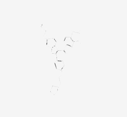 C=CCOc1ccc2c(C(=O)c3ccc(CN(C)C)c(OC)c3)c(-c3ccc(OCCN4CCCC4)cc3)sc2c1